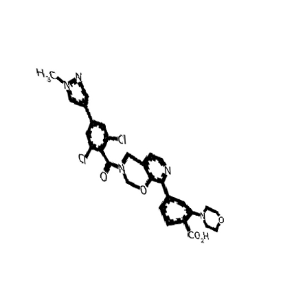 Cn1cc(-c2cc(Cl)c(C(=O)N3COc4c(ccnc4-c4ccc(C(=O)O)c(N5CCOCC5)c4)C3)c(Cl)c2)cn1